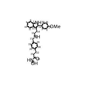 COc1ccc(-c2[nH]c3ccccc3c2CCNCc2ccc(CCC(=O)NO)cc2)cc1